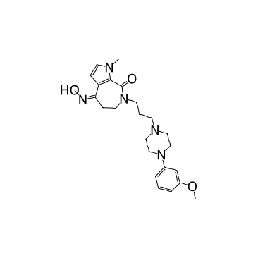 COc1cccc(N2CCN(CCCN3CC/C(=N/O)c4ccn(C)c4C3=O)CC2)c1